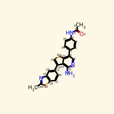 CC(=O)Nc1ccc(-c2cnc(N)c3c(-c4ccc5sc(C)nc5c4)csc23)cc1